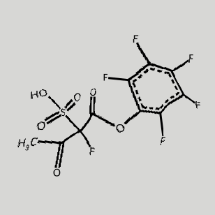 CC(=O)C(F)(C(=O)Oc1c(F)c(F)c(F)c(F)c1F)S(=O)(=O)O